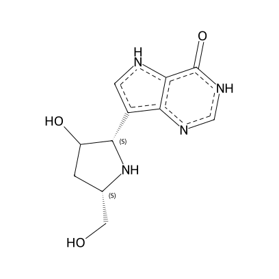 O=c1[nH]cnc2c([C@@H]3N[C@H](CO)CC3O)c[nH]c12